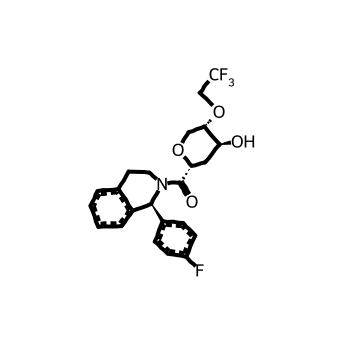 O=C([C@H]1C[C@H](O)[C@@H](OCC(F)(F)F)CO1)N1CCc2ccccc2[C@@H]1c1ccc(F)cc1